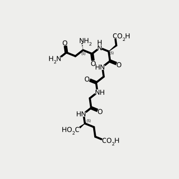 NC(=O)C[C@H](N)C(=O)N[C@@H](CC(=O)O)C(=O)NCC(=O)NCC(=O)N[C@@H](CCC(=O)O)C(=O)O